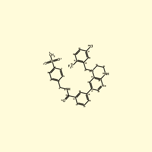 CS(=O)(=O)c1ccc(CNC(=O)c2cccc(-c3cnc4c(c3)N(Cc3cc(Cl)ccc3C(F)(F)F)CCN4)c2)cc1